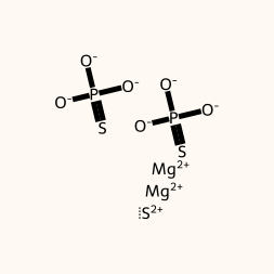 [Mg+2].[Mg+2].[O-]P([O-])([O-])=S.[O-]P([O-])([O-])=S.[S+2]